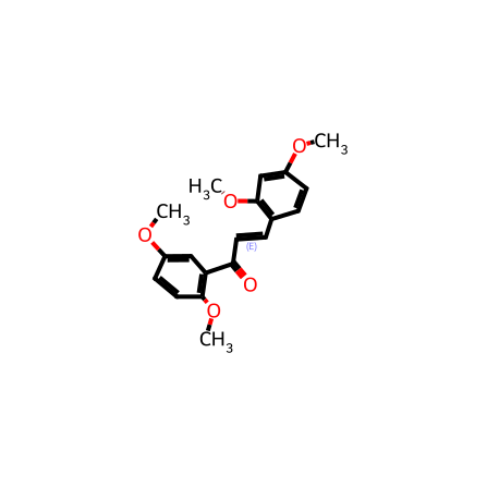 COc1ccc(/C=C/C(=O)c2cc(OC)ccc2OC)c(OC)c1